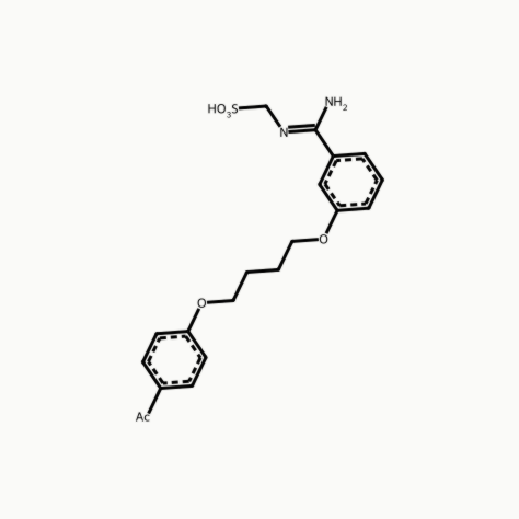 CC(=O)c1ccc(OCCCCOc2cccc(C(N)=NCS(=O)(=O)O)c2)cc1